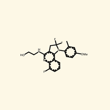 COc1ccc(N2c3c(c(NCCO)nc4c(F)cccc34)CC2(F)F)c(C)c1